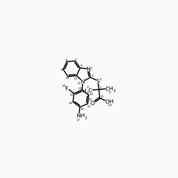 CC(C)(Sc1nc2ccccc2n1-c1ccc(N)cc1F)C(=O)O